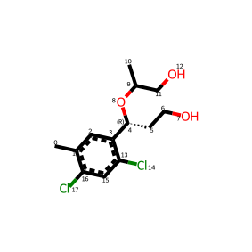 Cc1cc([C@@H](CCO)OC(C)CO)c(Cl)cc1Cl